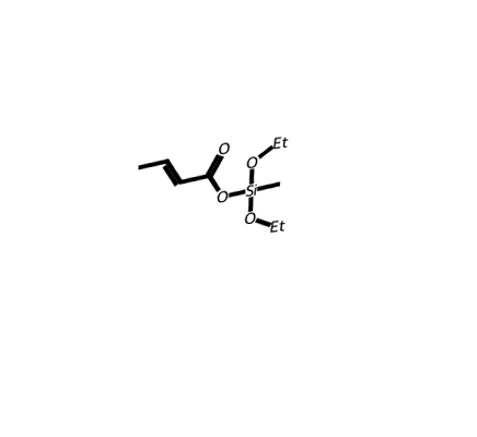 CC=CC(=O)O[Si](C)(OCC)OCC